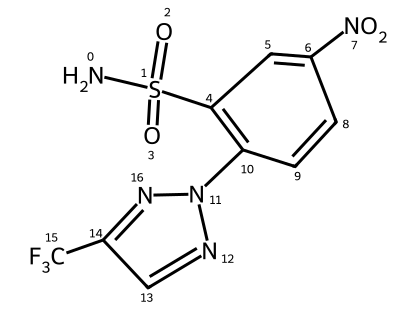 NS(=O)(=O)c1cc([N+](=O)[O-])ccc1-n1ncc(C(F)(F)F)n1